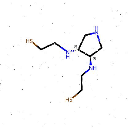 SCCN[C@@H]1CNC[C@H]1NCCS